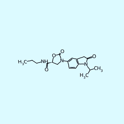 CCCNC(=O)[C@@H]1CN(c2ccc3c(c2)CC(=O)N3C(C)C)C(=O)O1